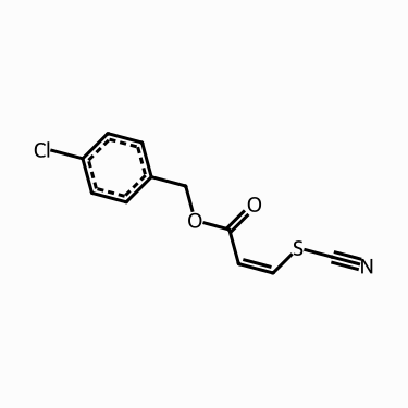 N#CS/C=C\C(=O)OCc1ccc(Cl)cc1